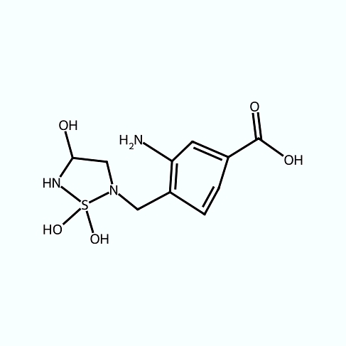 Nc1cc(C(=O)O)ccc1CN1CC(O)NS1(O)O